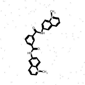 C[n+]1cccc2cc(NC(=O)c3cccc(C(=O)Nc4ccc5c(ccc[n+]5C)c4)c3)ccc21